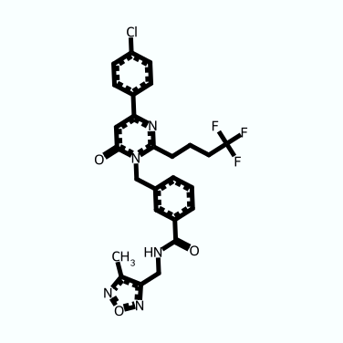 Cc1nonc1CNC(=O)c1cccc(Cn2c(CCCC(F)(F)F)nc(-c3ccc(Cl)cc3)cc2=O)c1